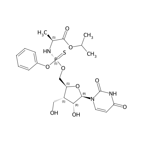 CC(C)OC(=O)[C@H](C)N[P@](=S)(OC[C@H]1O[C@@H](n2ccc(=O)[nH]c2=O)[C@H](O)[C@@H]1CO)Oc1ccccc1